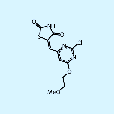 COCCOc1cc(C=C2SC(=O)NC2=O)nc(Cl)n1